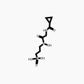 O=C(NCC(=O)N(O)CCCP(=O)(O)O)C1CC1